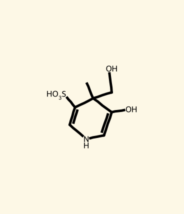 CC1(CO)C(O)=CNC=C1S(=O)(=O)O